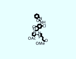 COC(=O)CCc1cnc([C@@H]2[C@@H](OC(C)=O)CCN2C(=O)Cc2cc(Cl)c(Nc3nc4ccccc4o3)cc2Cl)s1